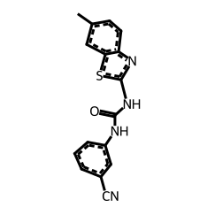 Cc1ccc2nc(NC(=O)Nc3cccc(C#N)c3)sc2c1